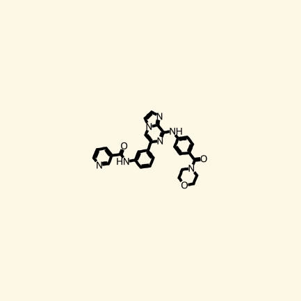 O=C(Nc1cccc(-c2cn3ccnc3c(Nc3ccc(C(=O)N4CCOCC4)cc3)n2)c1)c1cccnc1